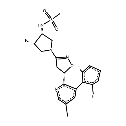 Cc1cnc([C@@H]2CC(N3C[C@H](F)[C@H](NS(C)(=O)=O)C3)=NO2)c(-c2c(F)cccc2F)c1